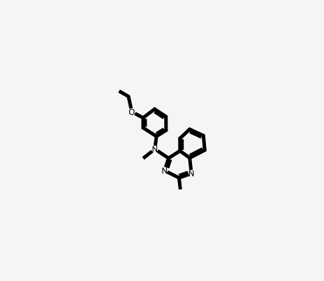 CCOc1cccc(N(C)c2nc(C)nc3ccccc23)c1